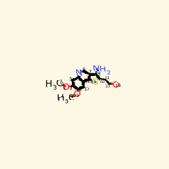 COc1cc2ncc3c(N)c(CC=O)sc3c2cc1OC